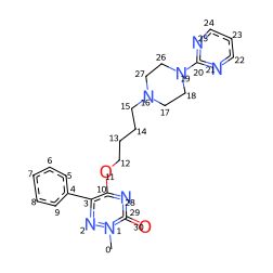 Cn1nc(-c2ccccc2)c(OCCCCN2CCN(c3ncccn3)CC2)nc1=O